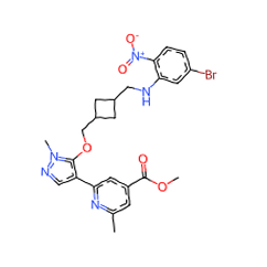 COC(=O)c1cc(C)nc(-c2cnn(C)c2OCC2CC(CNc3cc(Br)ccc3[N+](=O)[O-])C2)c1